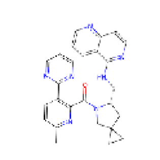 Cc1ccc(-c2ncccn2)c(C(=O)N2CC3(CC3)C[C@H]2CNc2nccc3ncccc23)n1